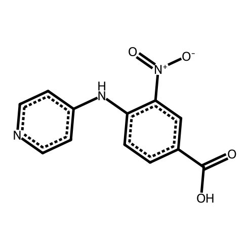 O=C(O)c1ccc(Nc2ccncc2)c([N+](=O)[O-])c1